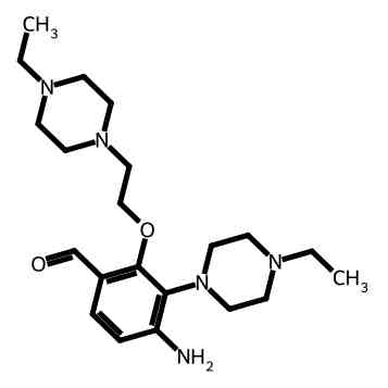 CCN1CCN(CCOc2c(C=O)ccc(N)c2N2CCN(CC)CC2)CC1